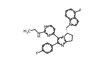 CCNc1nccc(-c2c(-c3ccc(F)cc3)nc3n2[C@H](Cn2ccc4c(F)cccc42)CC3)n1